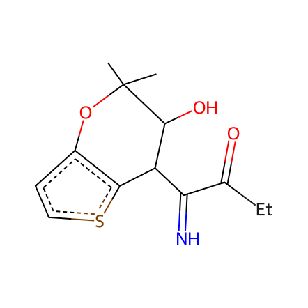 CCC(=O)C(=N)C1c2sccc2OC(C)(C)C1O